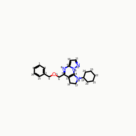 c1ccc(COCc2nc3ccnn3c3c2CCN3C2CCCCC2)cc1